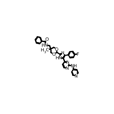 CC1(CNC(=O)c2ccccc2)COC(c2nc(-c3ccc(F)cc3)c(-c3ccnc(Nc4ccncc4)n3)[nH]2)OC1